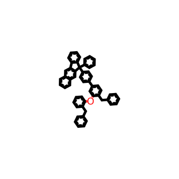 c1ccc(Cc2ccccc2Oc2cc(-c3ccc(C4(c5ccccc5)c5ccccc5-c5cc6ccccc6cc54)cc3)ccc2Cc2ccccc2)cc1